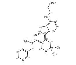 COCCNc1ncnc2c1sc1nc(N(C)Cc3cccnc3)c3c(c12)CC(C)(C)OC3